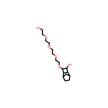 OCCOCCOCCOCCOC1C(O)C2C3CCC(C3)C12